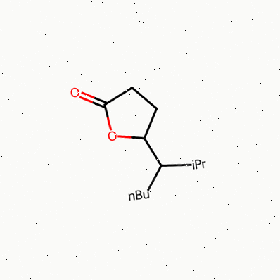 CCCCC(C(C)C)C1CCC(=O)O1